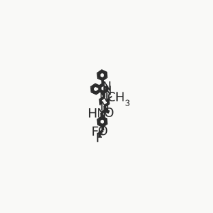 C[C@H]1CN(C(=O)Nc2ccc(OC(F)F)cc2)CCN1c1nnc(-c2ccccc2)c2ccccc12